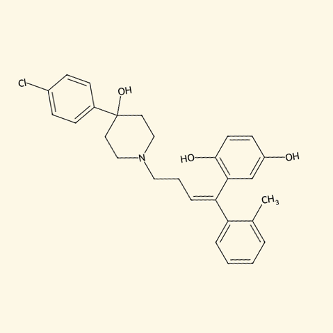 Cc1ccccc1C(=CCCN1CCC(O)(c2ccc(Cl)cc2)CC1)c1cc(O)ccc1O